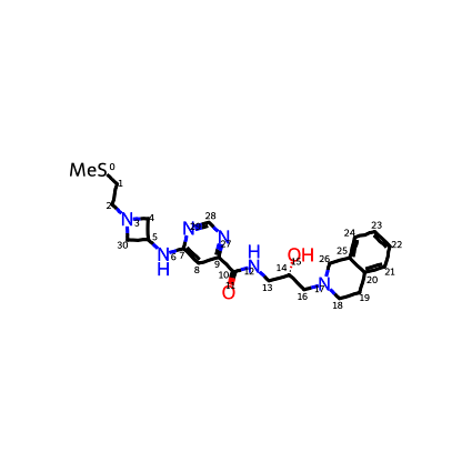 CSCCN1CC(Nc2cc(C(=O)NC[C@H](O)CN3CCc4ccccc4C3)ncn2)C1